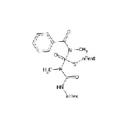 CCCCCCNC(=O)N(C)P(=O)(SCCCCC)N(C)C(=O)c1ccccc1